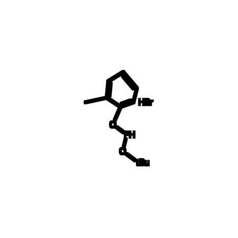 Br.Cc1ccccc1OPOC(C)(C)C